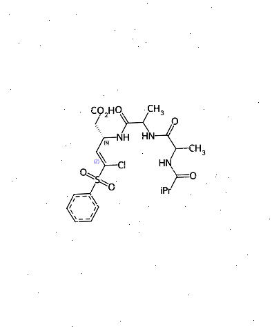 CC(C)C(=O)NC(C)C(=O)NC(C)C(=O)N[C@H](/C=C(\Cl)S(=O)(=O)c1ccccc1)CC(=O)O